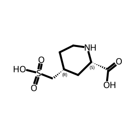 O=C(O)[C@@H]1C[C@H](CS(=O)(=O)O)CCN1